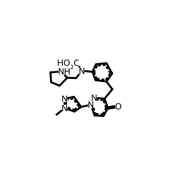 Cn1cc(-n2ccc(=O)c(Cc3cccc(N(CC4CCCN4)C(=O)O)c3)n2)cn1